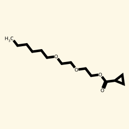 CCCCCCOCCOCCOC(=O)C1CC1